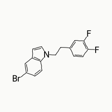 Fc1ccc(CCn2ccc3cc(Br)ccc32)cc1F